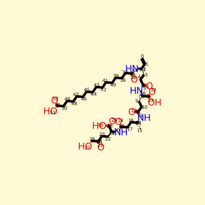 C=C[C@H](CCC(=O)N[C@@H](CCC(=O)N[C@H](C)CCC(=O)N[C@@H](CCC(=O)CO)C(=O)O)C(=O)O)NC(=O)CCCCCCCCCCCCCCC(=O)O